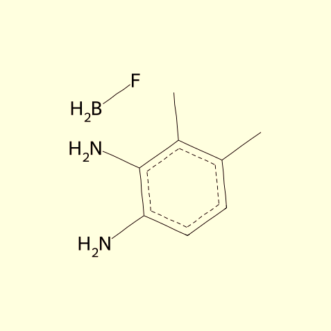 BF.Cc1ccc(N)c(N)c1C